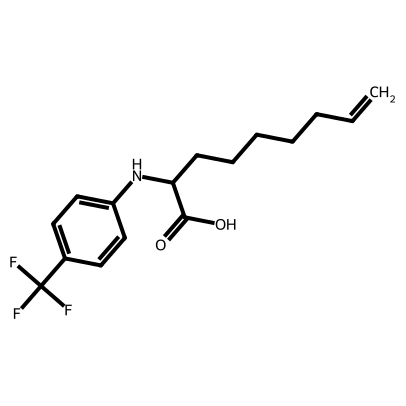 C=CCCCCCC(Nc1ccc(C(F)(F)F)cc1)C(=O)O